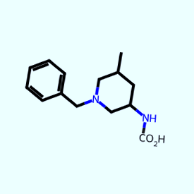 CC1CC(NC(=O)O)CN(Cc2ccccc2)C1